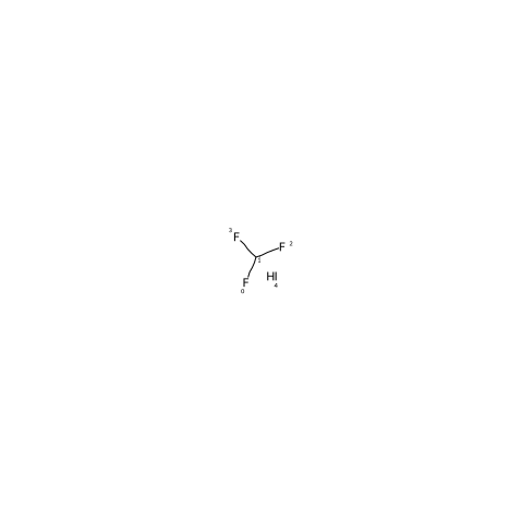 F[C](F)F.I